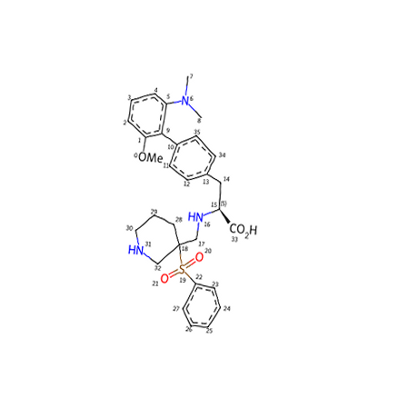 COc1cccc(N(C)C)c1-c1ccc(C[C@H](NCC2(S(=O)(=O)c3ccccc3)CCCNC2)C(=O)O)cc1